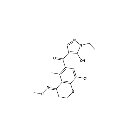 CCn1ncc(C(=O)c2cc(Cl)c3c(c2C)/C(=N/OC)CCS3)c1O